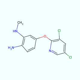 CNc1cc(Oc2ncc(Cl)cc2Cl)ccc1N